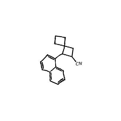 N#CC1CC2(CCC2)C1c1cccc2ccccc12